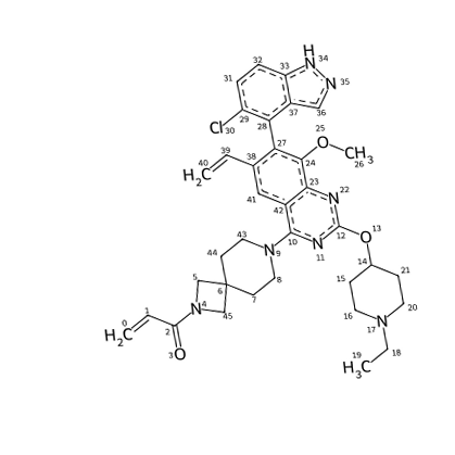 C=CC(=O)N1CC2(CCN(c3nc(OC4CCN(CC)CC4)nc4c(OC)c(-c5c(Cl)ccc6[nH]ncc56)c(C=C)cc34)CC2)C1